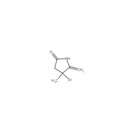 C=C1NC(=O)CC1(C)CC